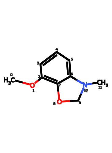 COc1cccc2c1OCN2C